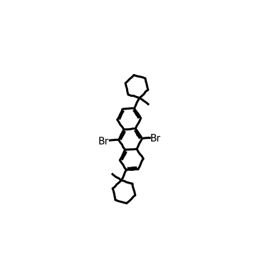 CC1(C2=CCC3C(=C2)C(Br)=c2ccc(C4(C)CCCCC4)cc2=C3Br)CCCCC1